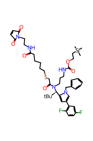 CC(C)(C)[C@H](c1cc(-c2cc(F)ccc2F)cn1Cc1ccccc1)N(CCCNC(=O)OCC[Si](C)(C)C)C(=O)CSCCCCCC(=O)NCCN1C(=O)C=CC1=O